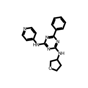 c1ccc(-c2nc(Nc3ccncc3)nc(NC3CCOC3)n2)cc1